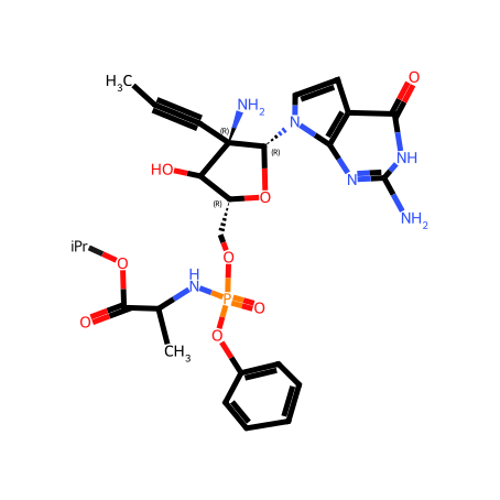 CC#C[C@@]1(N)C(O)[C@@H](COP(=O)(NC(C)C(=O)OC(C)C)Oc2ccccc2)O[C@H]1n1ccc2c(=O)[nH]c(N)nc21